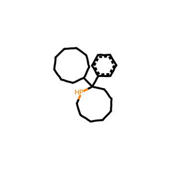 c1ccc(C2(C3CCCCCCCC3)CCCCCCCP2)cc1